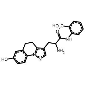 NC(Cc1cnn2c1CCc1cc(O)ccc1-2)C(=O)Nc1ccccc1C(=O)O